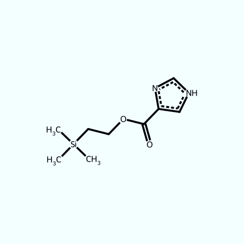 C[Si](C)(C)CCOC(=O)c1c[nH]cn1